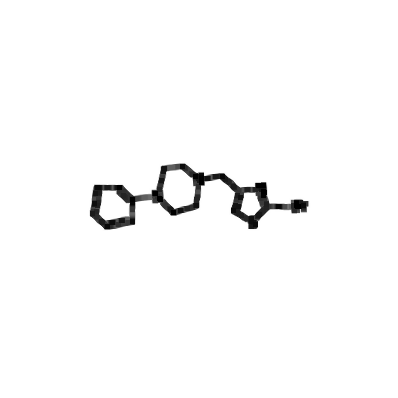 CC(C)c1nc(CN2CCN(c3ccccc3)CC2)cs1